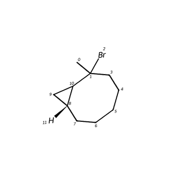 CC1(Br)CCCCC[C@@H]2CC21